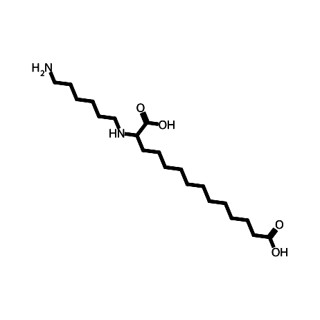 NCCCCCCNC(CCCCCCCCCCCC(=O)O)C(=O)O